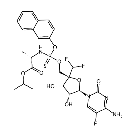 CC(C)OC(=O)[C@H](C)NP(=S)(OC[C@@]1(C(F)F)O[C@@H](n2cc(F)c(N)nc2=O)[C@H](O)[C@@H]1O)Oc1ccc2ccccc2c1